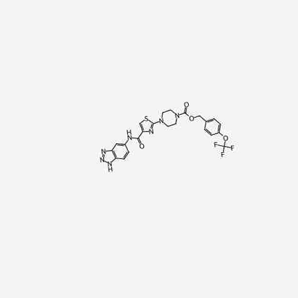 O=C(Nc1ccc2[nH]nnc2c1)c1csc(N2CCN(C(=O)OCc3ccc(OC(F)(F)F)cc3)CC2)n1